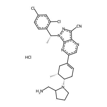 C[C@@H]1CC(c2cnc3c(C#N)nn([C@H](C)c4ccc(Cl)cc4Cl)c3n2)=CC[C@@H]1N1CCCC1CN.Cl